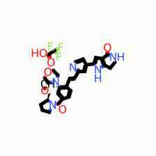 COC[C@@H]1CCCN1C(=O)c1ccc(C=Cc2cc(-c3cc4c([nH]3)CCNC4=O)ccn2)c(N2CCOCC2)c1.O=C(O)C(F)(F)F